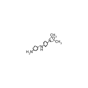 CC1CN(c2ccc(NCc3ccc(N)cc3)cc2)C[C@@H](C)O1